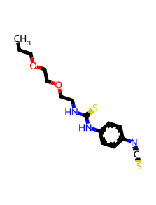 CCCOCCOCCNC(=S)Nc1ccc(N=C=S)cc1